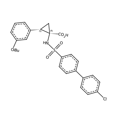 CC(C)COc1cccc([C@@H]2C[C@]2(NS(=O)(=O)c2ccc(-c3ccc(Cl)cc3)cc2)C(=O)O)c1